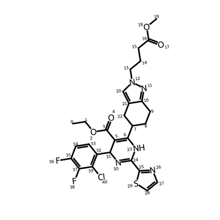 CCOC(=O)C1=C(C2CCc3nn(CCCC(=O)OC)cc3C2)NC(c2nccs2)=NC1c1ccc(F)c(F)c1Cl